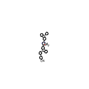 C=C(/C=C\C(=C/C)c1ccc2c(c1)c1ccccc1n2-c1ccccc1)c1ccc2c(c1)c1ccccc1n2-c1cccc(-c2ccc(C#N)cc2)c1